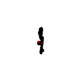 CCOC(=O)CCCCCC/C(=N/OCc1ccc(OCc2noc(-c3ccccc3)n2)cc1)c1ccccc1